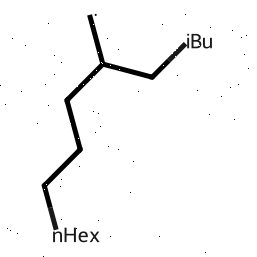 [CH2]C(CCCCCCCCC)CC(C)CC